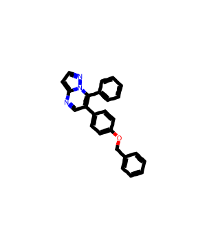 c1ccc(COc2ccc(-c3cnc4ccnn4c3-c3ccccc3)cc2)cc1